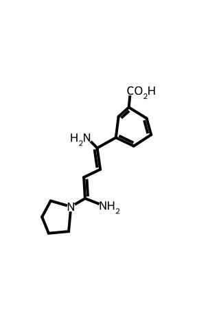 N/C(=C\C=C(/N)N1CCCC1)c1cccc(C(=O)O)c1